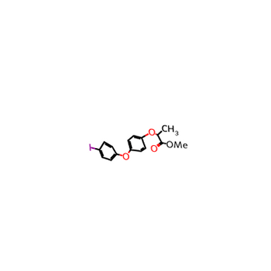 COC(=O)C(C)Oc1ccc(Oc2ccc(I)cc2)cc1